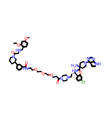 CCOc1cc(OC)ccc1CNCC(=O)N1CCCC(c2cccc(C(=O)NCCOCCOCCOCCC(=O)N3CCN(CC[C@H](NC(=O)C4(N)CCN(c5ncnc6[nH]ccc56)CC4)c4ccc(Cl)cc4)CC3)c2)C1